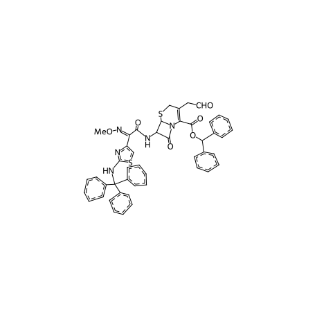 CO/N=C(/C(=O)NC1C(=O)N2C(C(=O)OC(c3ccccc3)c3ccccc3)=C(CC=O)CSC12)c1csc(NC(c2ccccc2)(c2ccccc2)c2ccccc2)n1